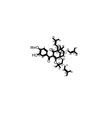 COc1ccc(C(=O)C2=C3OC(C)(C)[C@@H](CC=C(C)C)C[C@@]34C[C@@H](CC=C(C)C)C(C)(C)C(CC=C(C)C)(C2=O)C4=O)cc1O